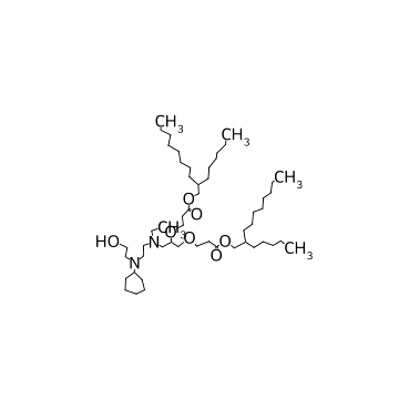 CCCCCCCCC(CCCCC)COC(=O)CCOCC(CN(CC)CCN(CCO)C1CCCCC1)OCCC(=O)OCC(CCCCCC)CCCCCCCC